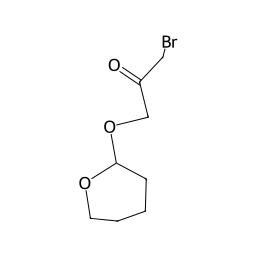 O=C(CBr)COC1CCCCO1